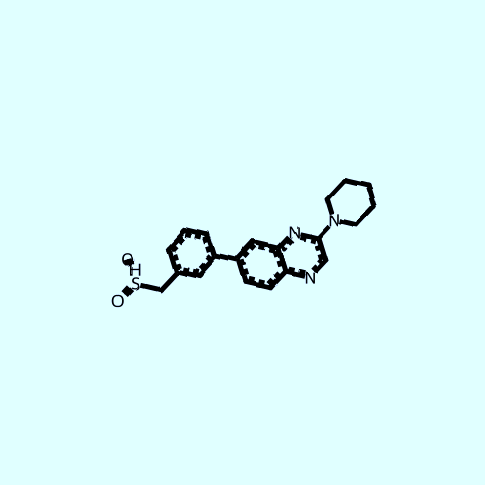 O=[SH](=O)Cc1cccc(-c2ccc3ncc(N4CCCCC4)nc3c2)c1